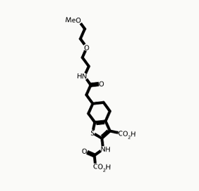 COCCOCCNC(=O)CC1CCc2c(sc(NC(=O)C(=O)O)c2C(=O)O)C1